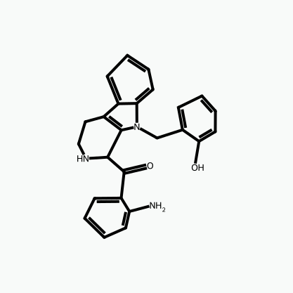 Nc1ccccc1C(=O)C1NCCc2c1n(Cc1ccccc1O)c1ccccc21